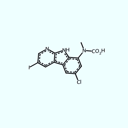 CN(C(=O)O)c1cc(Cl)cc2c1[nH]c1ncc(I)cc12